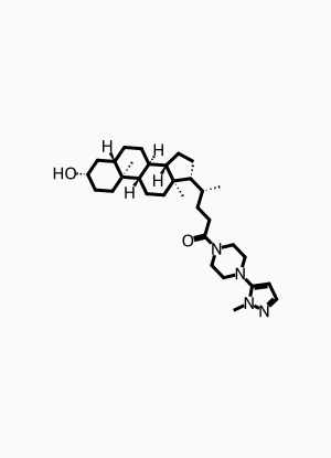 C[C@H](CCC(=O)N1CCN(c2ccnn2C)CC1)[C@H]1CC[C@H]2[C@@H]3CC[C@H]4C[C@@H](O)CC[C@]4(C)[C@H]3CC[C@]12C